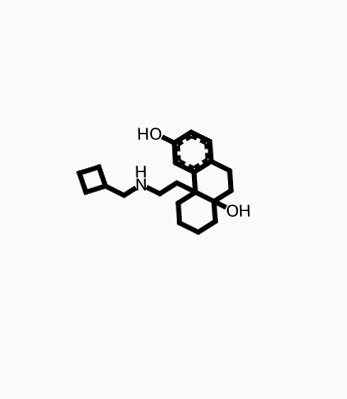 Oc1ccc2c(c1)C1(CCNCC3CCC3)CCCCC1(O)CC2